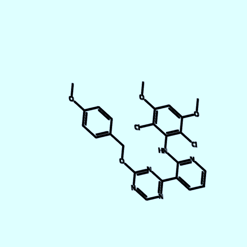 COc1ccc(COc2ncnc(-c3cccnc3Nc3c(Cl)c(OC)cc(OC)c3Cl)n2)cc1